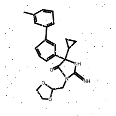 Cc1cccc(-c2cccc(C3(C4CC4)NC(=N)N(CC4OCCO4)C3=O)c2)c1